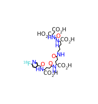 O=C(O)C[C@H](NC(=O)N[C@@H](CCCCNC(=O)CC[C@H](NC(=O)CC[C@H](NC(=O)c1ccc([18F])nc1)C(=O)O)C(=O)O)C(=O)O)C(=O)O